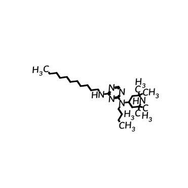 CCCCCCCCCCCNc1ncnc(N(CCCC)C2CC(C)(C)NC(C)(C)C2)n1